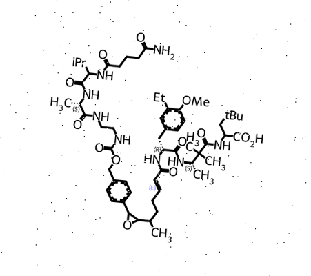 CCc1cc(C[C@@H](NC(=O)/C=C/CCC(C)C2OC2c2ccc(COC(=O)NCCNC(=O)[C@H](C)NC(=O)C(NC(=O)CCCC(N)=O)C(C)C)cc2)C(=O)N[C@@H](C)C(C)(C)C(=O)NC(CC(C)(C)C)C(=O)O)ccc1OC